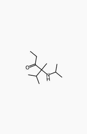 CCC(=O)C(C)(NC(C)C)C(C)C